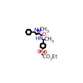 CCOC(=O)CS(=O)(=O)c1ccc(C(C)NC(=O)c2cc(-c3ccccc3)nn2C)cc1